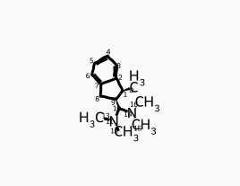 C[C@@H]1c2ccccc2C[C@@H]1C(N(C)C)N(C)C